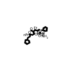 CCCC1(CCc2ccccc2)CC(O)=C(C(CC)c2cn(-c3ccccc3)c(S(N)(=O)=O)n2)C(=O)O1